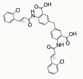 O=C(/C=C/c1ccccc1Cl)Nc1ccc(Cc2ccc(NC(=O)/C=C/c3ccccc3Cl)c(C(=O)O)c2)cc1C(=O)O